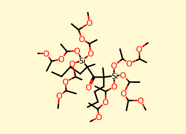 CCCCC(C)(C(=O)C(C)(CCCC)[Si](OC(C)OC(C)OC)(OC(C)OC(C)OC)OC(C)OC(C)OC)[Si](OC(C)OC(C)OC)(OC(C)OC(C)OC)OC(C)OC(C)OC